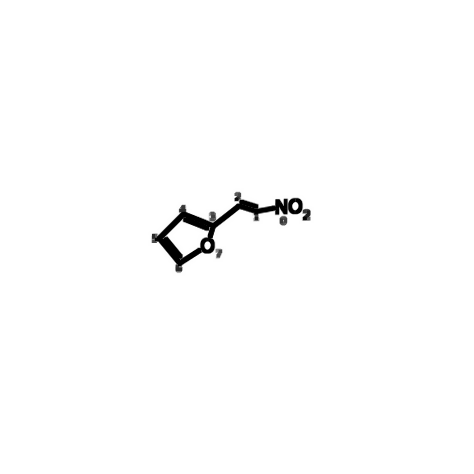 O=[N+]([O-])C=Cc1ccco1